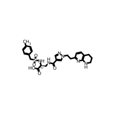 Cc1ccc(CS(=O)(=O)N[C@@H](CNC(=O)c2cnn(CCc3ccc4c(n3)NCCC4)c2)C(=O)O)cc1